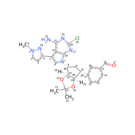 Cn1ccc(-c2cn([C@@H]3C[C@H](c4cccc(C=O)c4)[C@H]4OC(C)(C)O[C@H]43)c3nc(Cl)nc(N)c23)n1